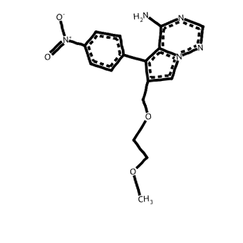 COCCOCc1cn2ncnc(N)c2c1-c1ccc([N+](=O)[O-])cc1